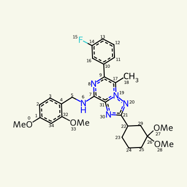 COc1ccc(CNc2nc(-c3cccc(F)c3)c(C)n3nc(C4CCCC(OC)(OC)C4)nc23)c(OC)c1